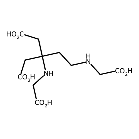 O=C(O)CNCCC(CC(=O)O)(CC(=O)O)NCC(=O)O